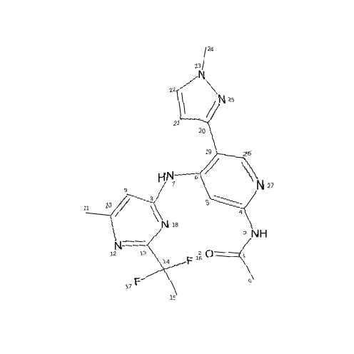 CC(=O)Nc1cc(Nc2cc(C)nc(C(C)(F)F)n2)c(-c2ccn(C)n2)cn1